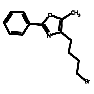 Cc1oc(-c2ccccc2)nc1CCCCBr